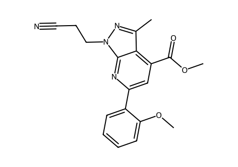 COC(=O)c1cc(-c2ccccc2OC)nc2c1c(C)nn2CCC#N